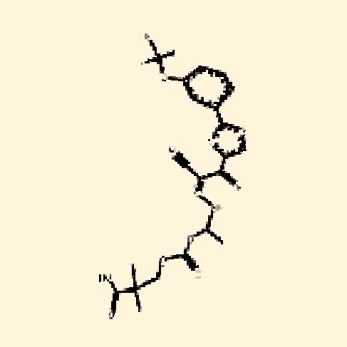 CC(N/N=C(/C#N)C(=N)c1csc(-c2cccc(OC(F)(F)F)c2)n1)OC(=O)OCC(C)(C)C(=O)O